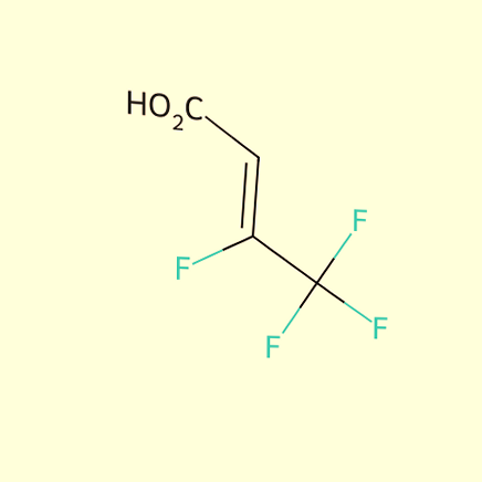 O=C(O)C=C(F)C(F)(F)F